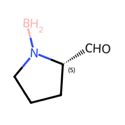 BN1CCC[C@H]1C=O